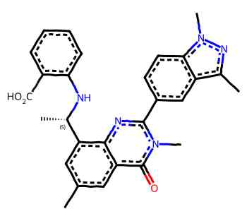 Cc1cc([C@H](C)Nc2ccccc2C(=O)O)c2nc(-c3ccc4c(c3)c(C)nn4C)n(C)c(=O)c2c1